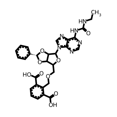 CCNC(=O)Nc1ncnc2c1ncn2C1OC(COCc2c(C(=O)O)cccc2C(=O)O)C2O[C@H](c3ccccc3)OC21